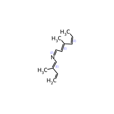 C=C/C(C)=C/N=C\C=C(C)\C=C/C